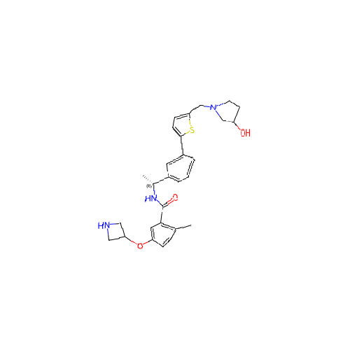 Cc1ccc(OC2CNC2)cc1C(=O)N[C@H](C)c1cccc(-c2ccc(CN3CCC(O)C3)s2)c1